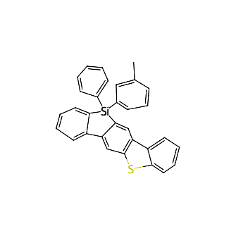 Cc1cccc([Si]2(c3ccccc3)c3ccccc3-c3cc4sc5ccccc5c4cc32)c1